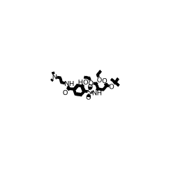 CCOC(OCC)C(CC(=O)OC(C)(C)C)NS(=O)(=O)c1ccc(C(=O)NCCN(C)C)cc1O